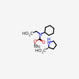 CC(C)(C)OC(=O)N(CC(=O)O)C1CCCCC1.O=C(O)[C@@H]1CCCN1